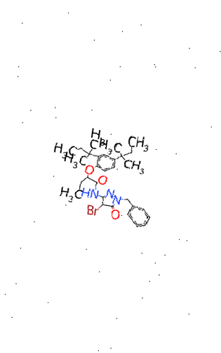 CCC(Oc1ccc(C(C)(C)CC)cc1C(C)(C)CC)C(=O)NC1=NN(Cc2ccccc2)C(=O)C1Br